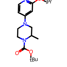 CC(C)Oc1cc(N2CCN(C(=O)OC(C)(C)C)C(C)C2)ccn1